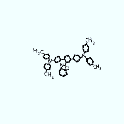 Cc1ccc(N(c2ccc(C)cc2)c2ccc(-c3ccc(-c4ccc(N(c5ccc(C)cc5)c5ccc(C)cc5)cc4)c(-c4nc5ccccc5o4)c3)cc2)cc1